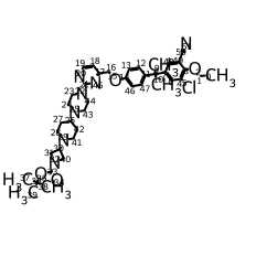 CCOc1c(Cl)cc(C(C)(C)c2ccc(OCc3ccnc(N4CCN(C5CCN(C6CN(C(=O)OC(C)(C)C)C6)CC5)CC4)n3)cc2)cc1C#N